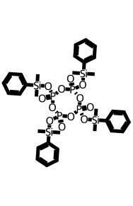 C[Si](C)(OP1(=O)OP(=O)(O[Si](C)(C)c2ccccc2)OP(=O)(O[Si](C)(C)c2ccccc2)OP(=O)(O[Si](C)(C)c2ccccc2)O1)c1ccccc1